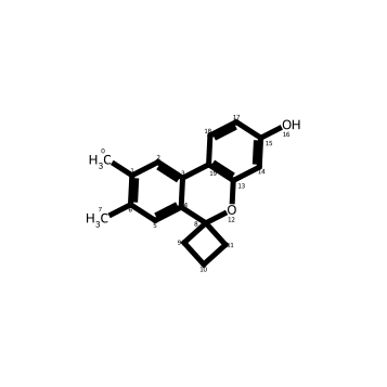 Cc1cc2c(cc1C)C1(CCC1)Oc1cc(O)ccc1-2